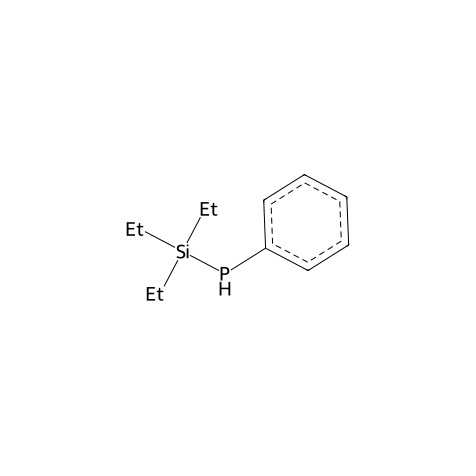 CC[Si](CC)(CC)Pc1ccccc1